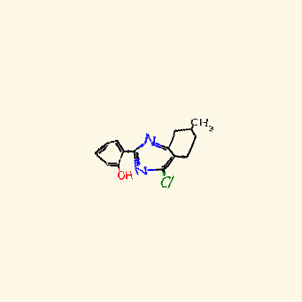 CC1CCc2c(Cl)nc(-c3ccccc3O)nc2C1